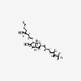 CCCC[C@](C)(O)C/C=C/[C@@H]1[C@H]2CC(CCCCC(=O)NC(C)(C)C)=C[C@H]2C[C@H]1O